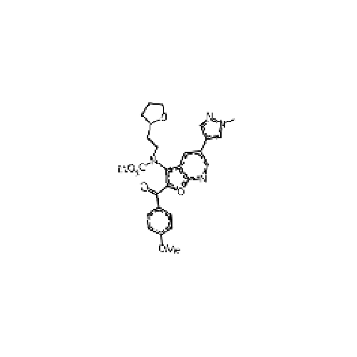 CCOC(=O)N(CCC1CCCO1)c1c(C(=O)c2ccc(OC)cc2)oc2ncc(-c3cnn(C)c3)cc12